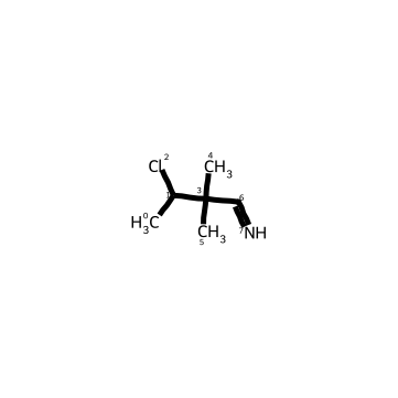 CC(Cl)C(C)(C)C=N